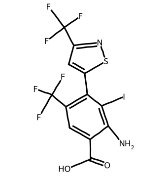 Nc1c(C(=O)O)cc(C(F)(F)F)c(-c2cc(C(F)(F)F)ns2)c1I